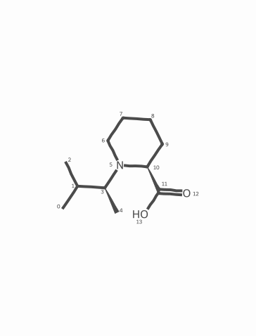 CC(C)[C@H](C)N1CCCC[C@H]1C(=O)O